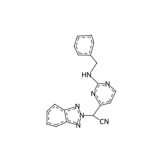 N#CC(c1ccnc(NCc2ccccc2)n1)n1nc2ccccc2n1